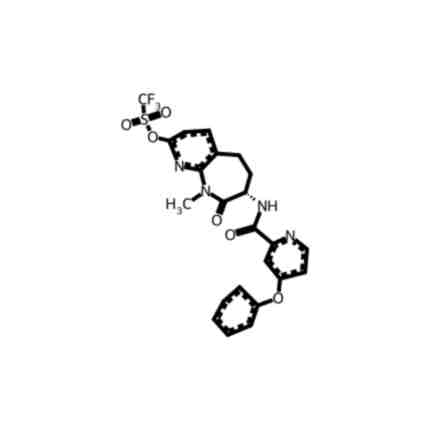 CN1C(=O)[C@@H](NC(=O)c2cc(Oc3ccccc3)ccn2)CCc2ccc(OS(=O)(=O)C(F)(F)F)nc21